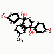 CC1=CC2C3=C(C1CC2C(C)C)C(O)(c1ccc(Br)cc1)C=CC3(O)c1ccc(Br)cc1